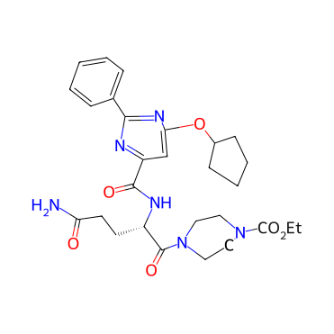 CCOC(=O)N1CCN(C(=O)[C@H](CCC(N)=O)NC(=O)c2cc(OC3CCCC3)nc(-c3ccccc3)n2)CC1